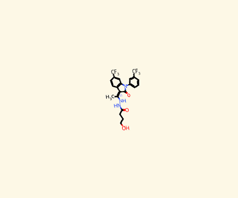 C/C(NNC(=O)CCCO)=C1/C(=O)N(c2cccc(C(F)(F)F)c2)c2cc(C(F)(F)F)ccc21